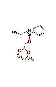 COC(CO[SiH](CCS)c1ccccc1)OC